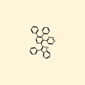 c1ccc(-c2cnc(-c3[se]c4ccccc4c3-c3ccccc3)c(-c3ccnnn3)c2-c2ccccc2)cc1